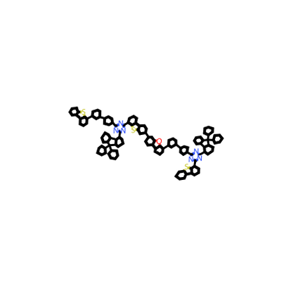 c1ccc(C2(c3ccccc3)c3ccccc3-c3c(-c4nc(-c5ccc(-c6cccc(-c7cccc8c7oc7cc(-c9ccc%10c(c9)sc9c(-c%11nc(-c%12ccc(-c%13cccc(-c%14cccc%15c%14sc%14ccccc%14%15)c%13)cc%12)nc(-c%12cccc%13c%12-c%12ccccc%12C%13(c%12ccccc%12)c%12ccccc%12)n%11)cccc9%10)ccc78)c6)cc5)nc(-c5cccc6c5sc5ccccc56)n4)cccc32)cc1